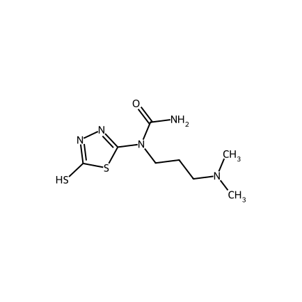 CN(C)CCCN(C(N)=O)c1nnc(S)s1